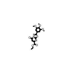 CCOC(=O)c1cc(=O)n2nc(-c3cc(OC)c(OC)c(OC)c3)sc2n1